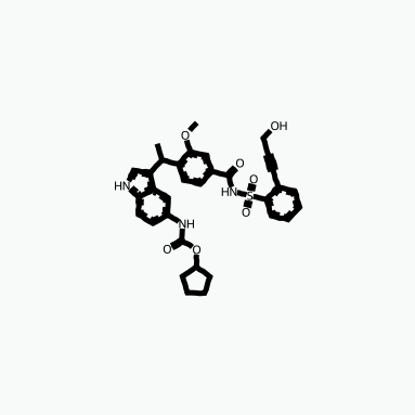 COc1cc(C(=O)NS(=O)(=O)c2ccccc2C#CCO)ccc1C(C)c1c[nH]c2ccc(NC(=O)OC3CCCC3)cc12